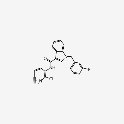 C#C/C=C\C(NC(=O)c1cn(Cc2cccc(F)c2)c2ccccc12)=C(/N)Cl